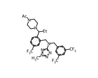 CCC(c1ccc(C(F)(F)F)cc1CN(Cc1cc(C(F)(F)F)cc(C(F)(F)F)c1)c1nnn(C)n1)N1CCN(C(C)=O)CC1